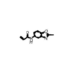 C=CC(=O)Nc1ccc2oc(C)nc2c1